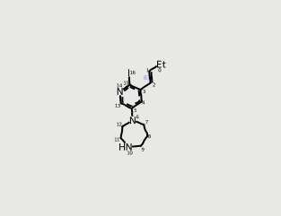 CC/C=C/c1cc(N2CCCNCC2)cnc1I